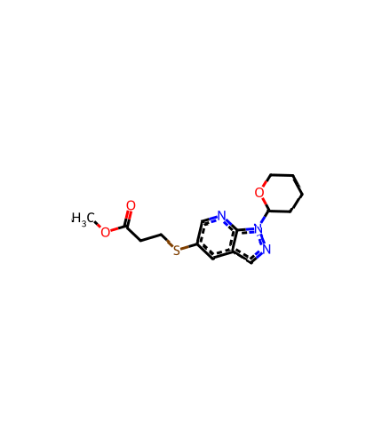 COC(=O)CCSc1cnc2c(cnn2C2CCCCO2)c1